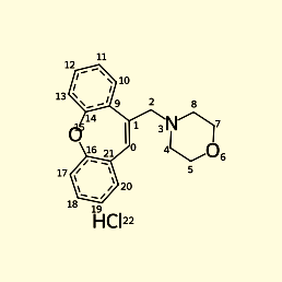 C1=C(CN2CCOCC2)c2ccccc2Oc2ccccc21.Cl